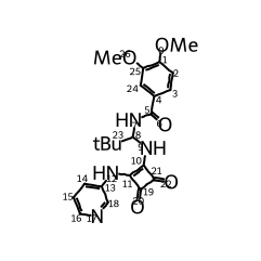 COc1ccc(C(=O)NC(Nc2c(Nc3cccnc3)c(=O)c2=O)C(C)(C)C)cc1OC